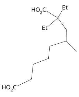 CCC(CC)(CC(C)CCCCC(=O)O)C(=O)O